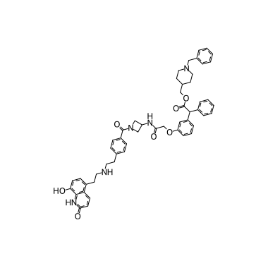 O=C(COc1cccc(C(C(=O)OCC2CCN(Cc3ccccc3)CC2)c2ccccc2)c1)NC1CN(C(=O)c2ccc(CCNCCc3ccc(O)c4[nH]c(=O)ccc34)cc2)C1